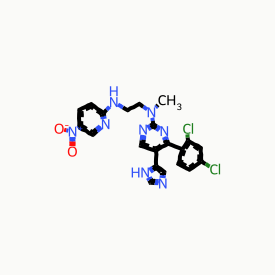 CN(CCNc1ccc([N+](=O)[O-])cn1)c1ncc(-c2cnc[nH]2)c(-c2ccc(Cl)cc2Cl)n1